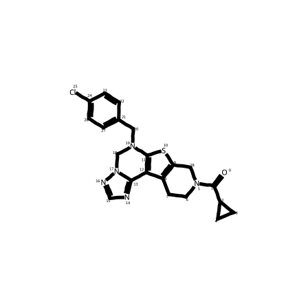 O=C(C1CC1)N1CCc2c(sc3c2-c2ncnn2CN3Cc2ccc(Cl)cc2)C1